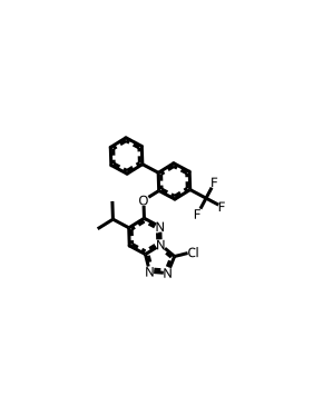 CC(C)c1cc2nnc(Cl)n2nc1Oc1cc(C(F)(F)F)ccc1-c1ccccc1